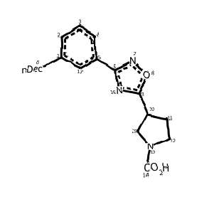 CCCCCCCCCCc1cccc(-c2noc(C3CCN(C(=O)O)C3)n2)c1